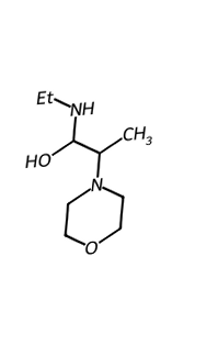 CCNC(O)C(C)N1CCOCC1